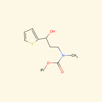 CC(C)OC(=O)N(C)CCC(O)c1cccs1